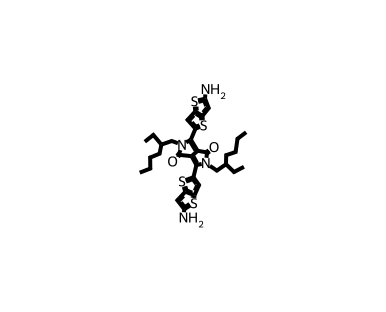 CCCCC(CC)CN1C(=O)C2=C(c3cc4sc(N)cc4s3)N(CC(CC)CCCC)C(=O)C2=C1c1cc2sc(N)cc2s1